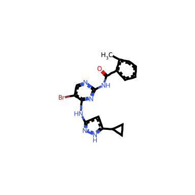 Cc1ccccc1C(=O)Nc1ncc(Br)c(Nc2cc(C3CC3)[nH]n2)n1